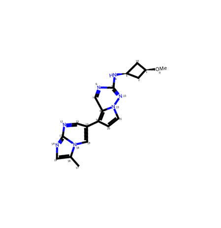 CO[C@H]1C[C@@H](Nc2ncc3c(-c4cnc5ncc(C)n5c4)ccn3n2)C1